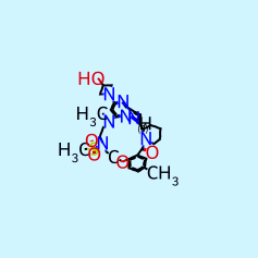 Cc1ccc2c(c1)C(=O)N1CCCC[C@H]1c1cc3nc(N4CC(O)C4)cc(n3n1)N(C)CCN(S(C)(=O)=O)CCO2